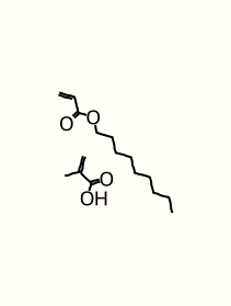 C=C(C)C(=O)O.C=CC(=O)OCCCCCCCCC